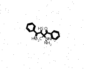 NN(N)[C@@](C(=O)O)(C(=O)c1ccccc1)C(S)C(=O)c1ccccc1